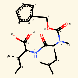 CC[C@H](C)[C@H](NC(=O)[C@H](CC(C)C)N(C)C(=O)OCc1ccccc1)C(=O)O